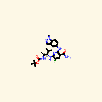 CC(C)[C@@H](Nc1nc(Nc2ccc3c(cnn3C)c2)c(C(N)=O)cc1F)[C@H](C)NC(=O)OC(C)(C)C